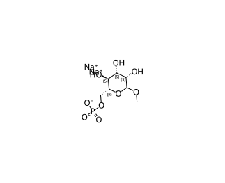 COC1O[C@H](COP(=O)([O-])[O-])[C@@H](O)[C@H](O)[C@@H]1O.[Na+].[Na+]